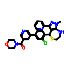 Cn1nc(-c2ccccn2)c2c1NCCSC2c1ccc(-c2cncc(C(=O)N3CCOCC3)c2)cc1Cl